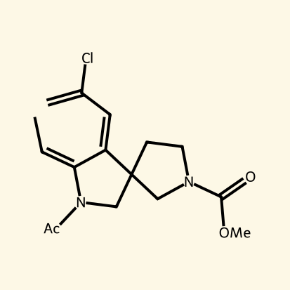 C=C(Cl)/C=C1\C(=C/C)N(C(C)=O)CC12CCN(C(=O)OC)C2